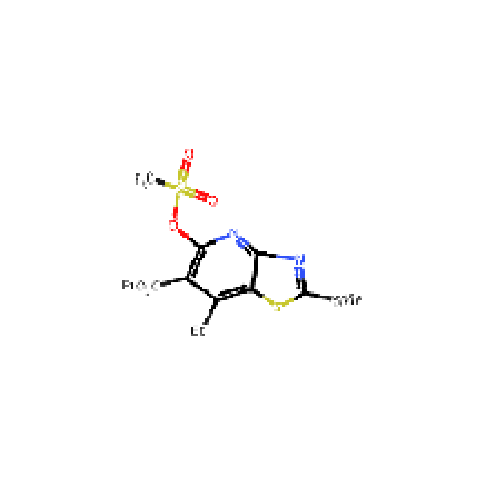 CCOC(=O)c1c(OS(=O)(=O)C(F)(F)F)nc2nc(SC)sc2c1CC